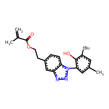 C=C(C)C(=O)OCCc1ccc2c(c1)nnn2-c1cc(C)cc(C(C)(C)C)c1O